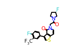 O=C(Cn1ccc2scc(-c3ccc(F)c(C(F)(F)F)c3)c2c1=O)N1CC[C@H](F)C1